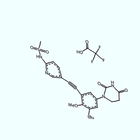 COc1c(C#Cc2ccc(NS(C)(=O)=O)nc2)cc(N2CCC(=O)NC2=O)cc1C(C)(C)C.O=C(O)C(F)(F)F